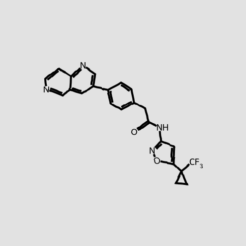 O=C(Cc1ccc(-c2cnc3ccncc3c2)cc1)Nc1cc(C2(C(F)(F)F)CC2)on1